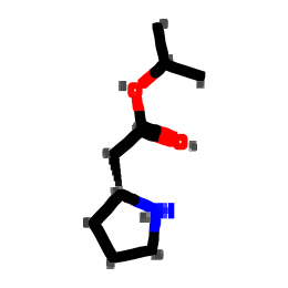 CC(C)OC(=O)C[C@H]1CCCN1